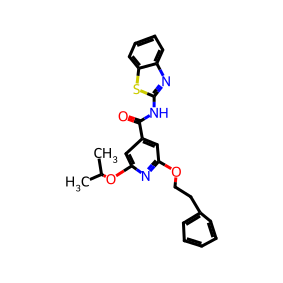 CC(C)Oc1cc(C(=O)Nc2nc3ccccc3s2)cc(OCCc2ccccc2)n1